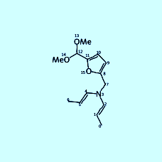 CC=CN(C=CC)Cc1ccc(C(OC)OC)o1